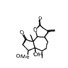 C=C1C(=O)OC2C1CCC(C)C1(O)C(OC)CC(=O)C21C